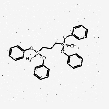 C[Si](CCC[Si](C)(Oc1ccccc1)Oc1ccccc1)(Oc1ccccc1)Oc1ccccc1